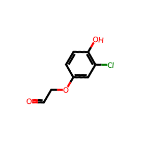 O=CCOc1ccc(O)c(Cl)c1